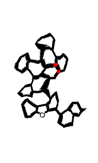 c1ccc(-c2cc3ccccc3c3ccccc23)c(-c2c3ccccc3c(-c3ccc(-c4cccc5ccccc45)c4oc5ccccc5c34)c3ccccc23)c1